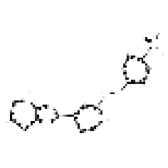 CS(=O)(=O)c1ccc(SNc2cc(-c3nc4ncccc4o3)ccn2)cc1